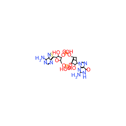 Nc1nc2c(ncn2C2C3CC45COP(=O)(O)OC6C(COP(=O)(O)OC4(C2O)C35)OC(c2snc3c(N)ncnc23)C6O)c(=O)[nH]1